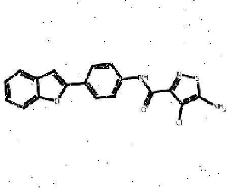 Nc1snc(C(=O)Nc2ccc(-c3cc4ccccc4o3)cc2)c1Cl